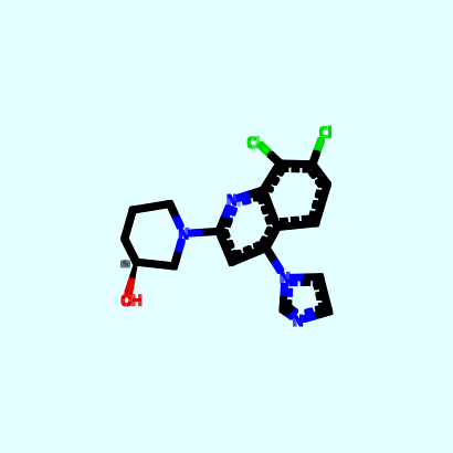 O[C@H]1CCCN(c2cc(-n3ccnc3)c3ccc(Cl)c(Cl)c3n2)C1